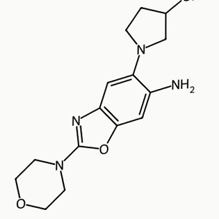 Nc1cc2oc(N3CCOCC3)nc2cc1N1CCC(O)C1